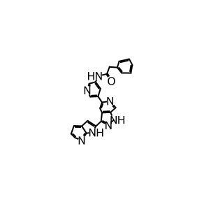 O=C(Cc1ccccc1)Nc1cncc(-c2cc3c(-c4cc5cccnc5[nH]4)n[nH]c3cn2)c1